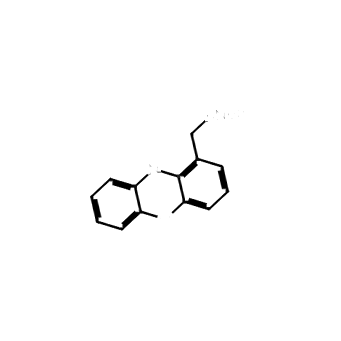 CCCCCCCCCCc1cccc2c1[N]c1ccccc1O2